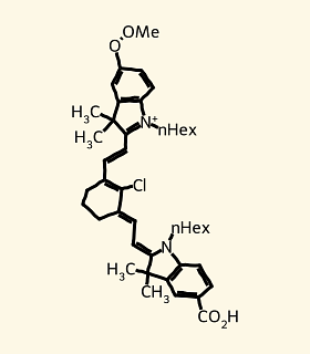 CCCCCCN1C(=C/C=C2\CCCC(C=CC3=[N+](CCCCCC)c4ccc(OOC)cc4C3(C)C)=C2Cl)C(C)(C)c2cc(C(=O)O)ccc21